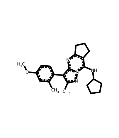 COc1ccc(-c2c(C)nn3c(NC4CCCC4)c4c(nc23)CCC4)c(C)c1